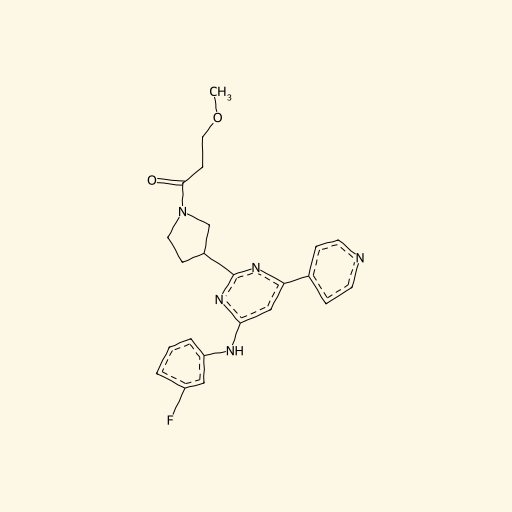 COCCC(=O)N1CCC(c2nc(Nc3cccc(F)c3)cc(-c3ccncc3)n2)C1